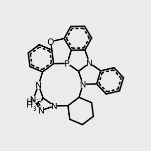 C[C@H]1N2N=NN1C1CCCCC1N1c3ccccc3N3c4cccc5c4P(c4c(cccc42)O5)C31